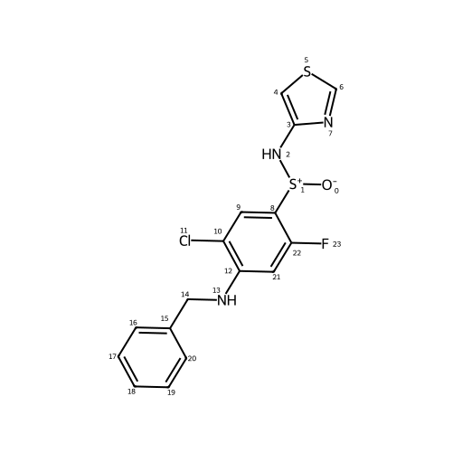 [O-][S+](Nc1cscn1)c1cc(Cl)c(NCc2ccccc2)cc1F